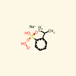 CC(C)c1ccccc1S(=O)(=O)O.[Na+].[O-]O